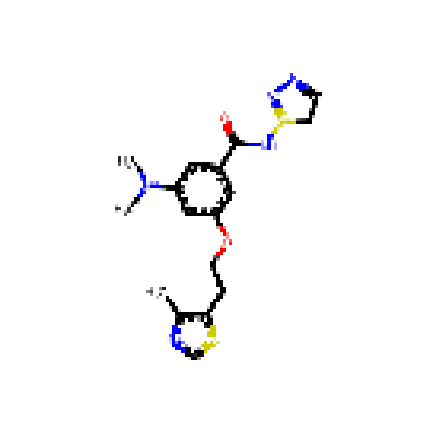 Cc1ncsc1CCOc1cc(C(=O)NS2=NN=CC2)cc(N(C)C)c1